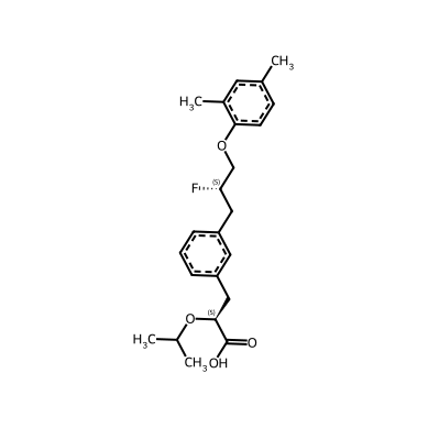 Cc1ccc(OC[C@@H](F)Cc2cccc(C[C@H](OC(C)C)C(=O)O)c2)c(C)c1